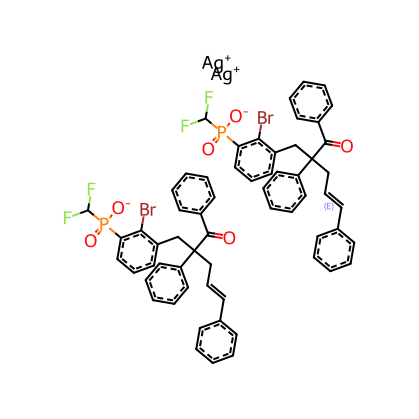 O=C(c1ccccc1)C(C/C=C/c1ccccc1)(Cc1cccc(P(=O)([O-])C(F)F)c1Br)c1ccccc1.O=C(c1ccccc1)C(CC=Cc1ccccc1)(Cc1cccc(P(=O)([O-])C(F)F)c1Br)c1ccccc1.[Ag+].[Ag+]